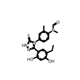 CCc1cc(-c2n[nH]c(=S)n2-c2ccc(N(C)C=O)c(C)c2)c(O)cc1O